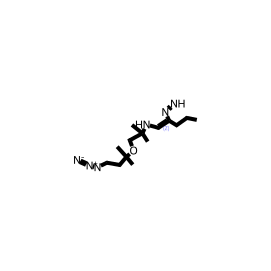 CCC/C(=C/NC(C)(C)COC(C)(C)CCN=[N+]=[N-])N=N